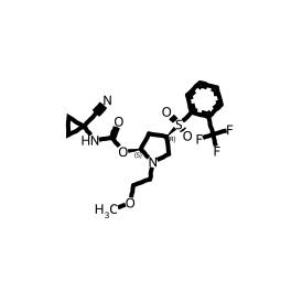 COCCN1C[C@H](S(=O)(=O)c2ccccc2C(F)(F)F)C[C@@H]1OC(=O)NC1(C#N)CC1